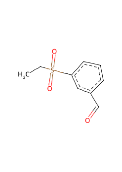 CCS(=O)(=O)c1cccc(C=O)c1